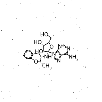 C[C@@H]1Oc2ccccc2C[C@H]1N[C@@]1(n2cnc3c(N)ncnc32)O[C@H](CO)[C@@H](O)[C@H]1O